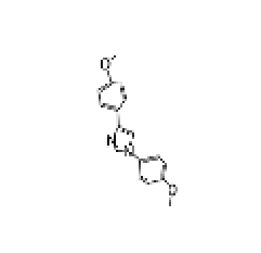 COc1ccc(-c2cn(-c3ccc(OC)cc3)cn2)cc1